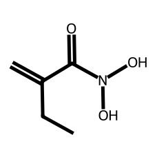 C=C(CC)C(=O)N(O)O